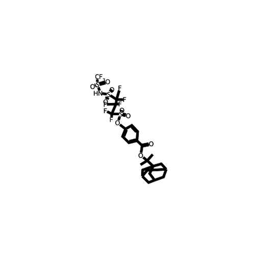 CC(C)(OC(=O)c1ccc(OS(=O)(=O)C(F)(F)C(F)(F)C(F)(F)S(=O)(=O)NS(=O)(=O)C(F)(F)F)cc1)C12CC3CC(CC(C3)C1)C2